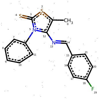 Cc1sc(=S)n(-c2ccccc2)c1N=Cc1ccc(F)cc1